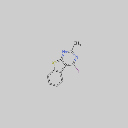 Cc1nc(I)c2c(n1)sc1ccccc12